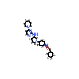 c1cc(N2CCCCCC2)nc(NC2CCCN(C3CCC(=NOCC4CCCCC4)CC3)C2)n1